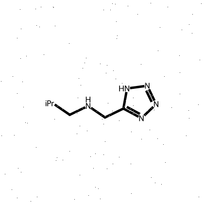 CC(C)CNCc1nnn[nH]1